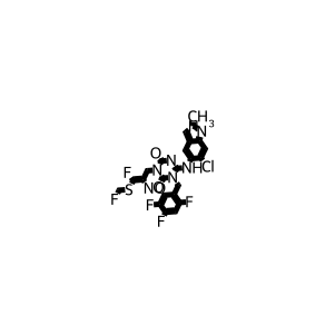 Cn1cc2cc(Nc3nc(=O)n(C/C(N=O)=C(\F)SCF)c(=O)n3Cc3cc(F)c(F)cc3F)c(Cl)cc2n1